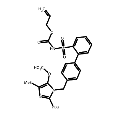 C=CCOC(=O)NS(=O)(=O)c1ccccc1-c1ccc(Cn2c(CCCC)nc(SC)c2OC(=O)O)cc1